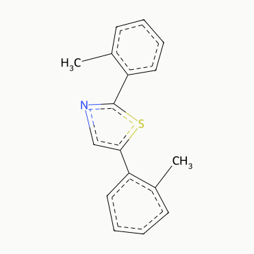 Cc1ccccc1-c1cnc(-c2ccccc2C)s1